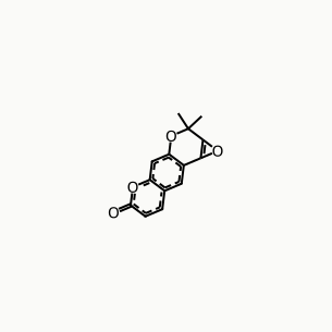 CC1(C)Oc2cc3oc(=O)ccc3cc2C2=C1O2